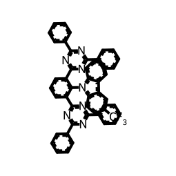 FC(F)(F)c1ccc2c(c1)c1ccccc1n2-c1c(-c2nc(-c3ccccc3)nc(-c3ccccc3)n2)cccc1-c1nc(-c2ccccc2)nc(-c2ccccc2)n1